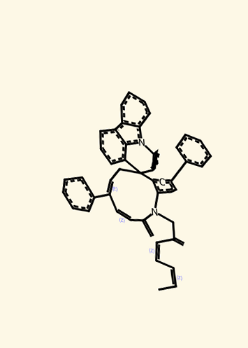 C=C(/C=C\C=C/C)CN1C(=C)/C=C\C(c2ccccc2)=C/CC2(c3cc(-c4ccccc4)ccc31)c1ccccc1-n1c3ccccc3c3cccc2c31